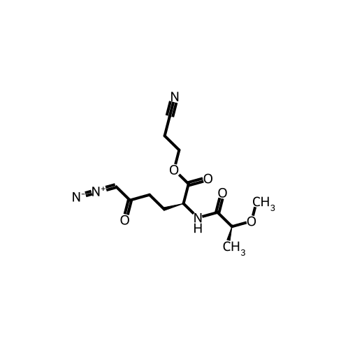 CO[C@@H](C)C(=O)N[C@@H](CCC(=O)C=[N+]=[N-])C(=O)OCCC#N